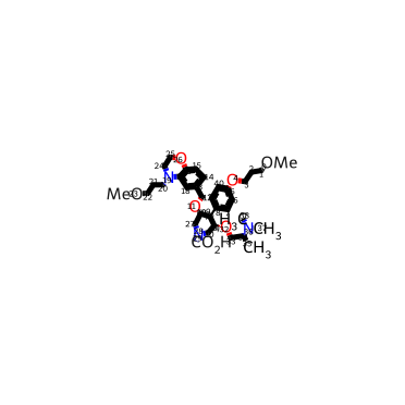 COCCCOc1ccc([C@@H]2[C@@H](OCc3ccc4c(c3)N(CCCOC)CCO4)CN(C(=O)O)C[C@H]2OCC(C)N(C)C)cc1